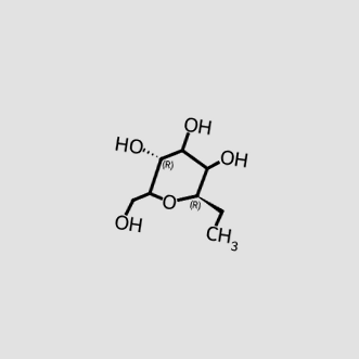 CC[C@H]1OC(CO)[C@H](O)C(O)C1O